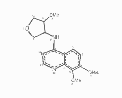 COc1ccc2c(NC3COCC3OC)ncnc2c1OC